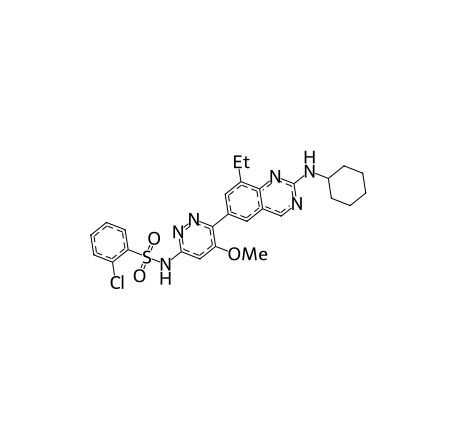 CCc1cc(-c2nnc(NS(=O)(=O)c3ccccc3Cl)cc2OC)cc2cnc(NC3CCCCC3)nc12